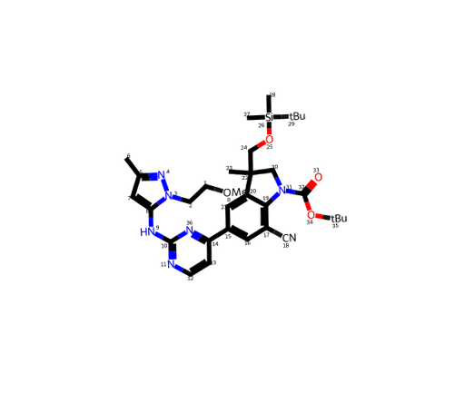 COCCn1nc(C)cc1Nc1nccc(-c2cc(C#N)c3c(c2)C(C)(CO[Si](C)(C)C(C)(C)C)CN3C(=O)OC(C)(C)C)n1